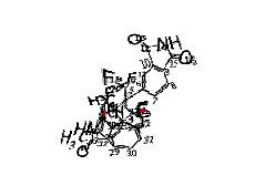 CC1=CC(C)(C(c2ccc3c(c2)C(=O)NC3=O)(C(F)(F)F)C(F)(F)F)C2c3ccc(cc3)C13C(=O)NC(=O)C23C